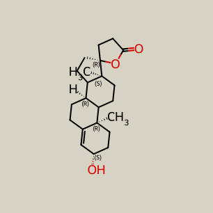 C[C@]12CC[C@H](O)C=C1CC[C@@H]1C2CC[C@@]2(C)C1CC[C@@]21CCC(=O)O1